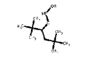 CC(C)(C)CC(OPO)C(C)(C)C